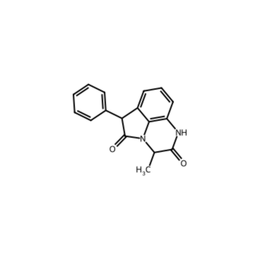 CC1C(=O)Nc2cccc3c2N1C(=O)C3c1ccccc1